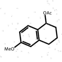 COc1ccc2c(c1)CCCC2OC(C)=O